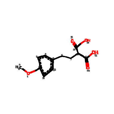 COc1ccc(CCC(C(=O)O)C(=O)O)cc1